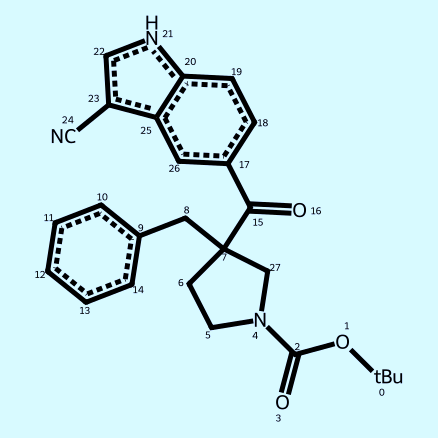 CC(C)(C)OC(=O)N1CCC(Cc2ccccc2)(C(=O)c2ccc3[nH]cc(C#N)c3c2)C1